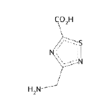 NCc1nsc(C(=O)O)n1